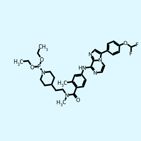 CCOP(OCC)N1CCC(CCN(C)C(=O)c2ccc(Nc3nccn4c(-c5ccc(OC(F)F)cc5)cnc34)cc2C)CC1